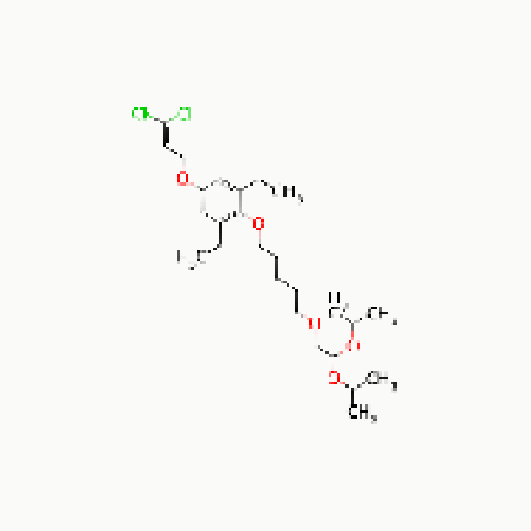 CCc1cc(OCC=C(Cl)Cl)cc(CC)c1OCCCCCOCC(OC(C)C)OC(C)C